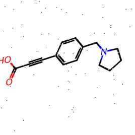 O=C(O)C#Cc1ccc(CN2CCCC2)cc1